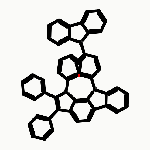 c1ccc(-c2c(-c3ccccc3)n(-c3ccccc3)c3c2ccc2c4ccccc4n(-c4ccc(-n5c6ccccc6c6ccccc65)cc4)c23)cc1